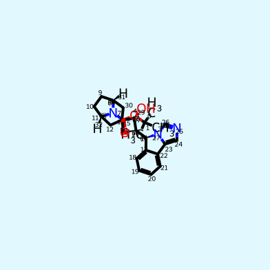 CC(C)(C)OC(=O)N1[C@@H]2CC[C@H]1CC1(C[C@H]([C@@H]3c4ccccc4-c4cncn43)[C@@H]1O)C2